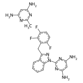 Cc1nc(N)cc(N)n1.Nc1cc(N)nc(-n2nc(Cc3c(F)ccc(F)c3F)c3ccccc32)n1